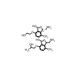 Cc1ccc(OCC(C)O)c2c1C(CN)OB2O.Cc1ccc(OCCO)c2c1[C@@H](CN)OB2O